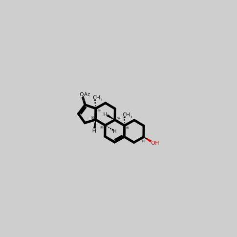 CC(=O)OC1=CC[C@H]2[C@@H]3CC=C4C[C@H](O)CC[C@]4(C)[C@H]3CC[C@]12C